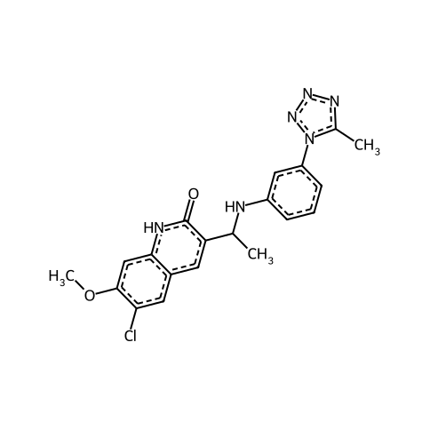 COc1cc2[nH]c(=O)c(C(C)Nc3cccc(-n4nnnc4C)c3)cc2cc1Cl